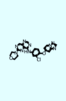 Clc1cc(Nc2ncnc3cnc(N4CCOCC4)nc23)ccc1Oc1ccn2ncnc2c1